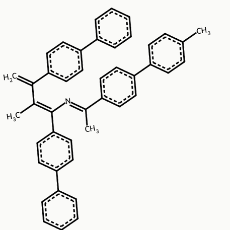 C=C(/C(C)=C(\N=C(/C)c1ccc(-c2ccc(C)cc2)cc1)c1ccc(-c2ccccc2)cc1)c1ccc(-c2ccccc2)cc1